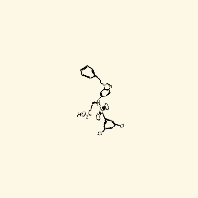 O=C(O)CN(c1ccc2ncn(CCc3ccccc3)c2c1)S(=O)(=O)c1cc(Cl)cc(Cl)c1